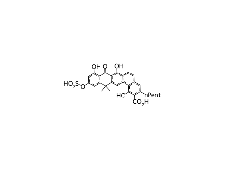 CCCCCc1cc2ccc3c(O)c4c(cc3c2c(O)c1C(=O)O)C(C)(C)c1cc(OS(=O)(=O)O)cc(O)c1C4=O